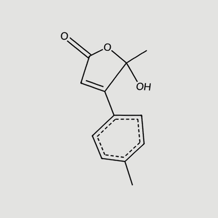 Cc1ccc(C2=CC(=O)OC2(C)O)cc1